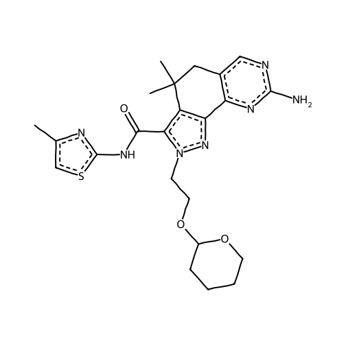 Cc1csc(NC(=O)c2c3c(nn2CCOC2CCCCO2)-c2nc(N)ncc2CC3(C)C)n1